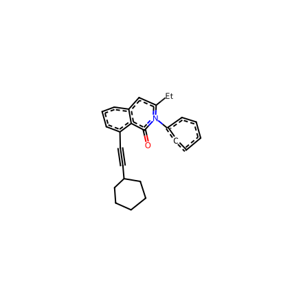 CCc1cc2cccc(C#CC3CCCCC3)c2c(=O)n1-c1ccccc1